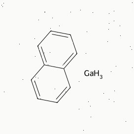 [GaH3].c1ccc2ccccc2c1